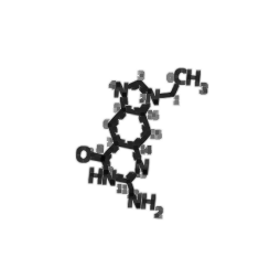 CCn1cnc2cc3c(=O)[nH]c(N)nc3cc21